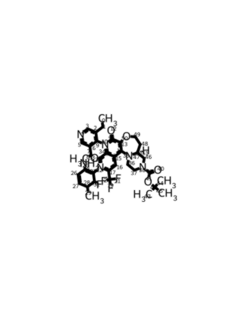 CCc1cncc(CC)c1-n1c(=O)c2c(c3cc(C(F)(F)F)n(C4=C(N)C=CC(C)C4F)c(=O)c31)N1CCN(C(=O)OC(C)(C)C)C[C@@H]1CCO2